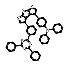 c1ccc(-c2nc(-c3ccccc3)nc(-c3cccc(-c4csc5sc6scc(-c7ccc(N(c8ccccc8)c8ccccc8)cc7)c6c45)c3)n2)cc1